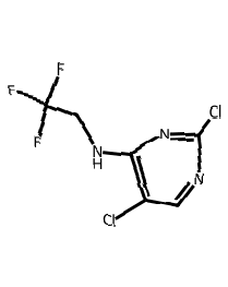 FC(F)(F)CNc1nc(Cl)ncc1Cl